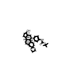 CC(C)(C)OC(=O)Nc1ccc([C@H]2C[C@]3(C)C(O)CC[C@H]3[C@@H]3CCC4=CC5(CC[C@@H]4[C@H]32)SCCS5)cc1